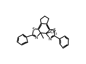 CC12N=C(c3ccccc3)SC1=C1CCCC1=C1SC(c3ccccc3)=NC12C(F)(F)F